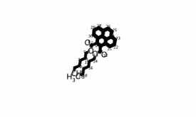 CCCCCCOC(=O)c1c(C(=O)OCCCCCC)c2cccc3ccc4cccc1c4c32